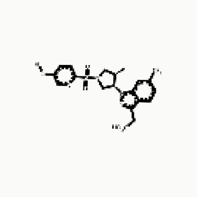 CCOc1ccc(S(=O)(=O)N2C[C@@H](C)[C@@H](n3nc(CC(=O)O)c4ccc(C(F)(F)F)cc43)C2)nc1